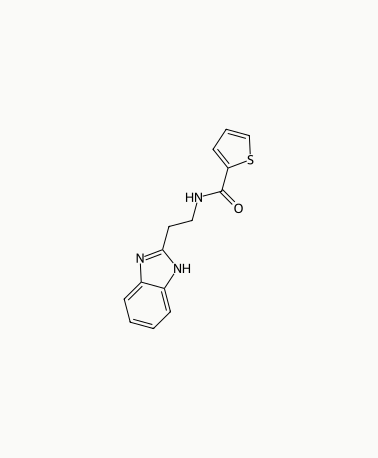 O=C(NCCc1nc2ccccc2[nH]1)c1cccs1